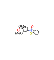 COC(=O)c1ccc(-n2sc3ccccc3c2=O)cc1OC